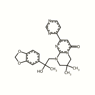 CC1(C)CN(CC(C)(O)c2ccc3c(c2)OCO3)c2nc(-c3ccncn3)cc(=O)n2C1